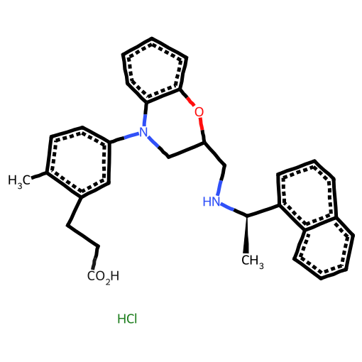 Cc1ccc(N2CC(CN[C@H](C)c3cccc4ccccc34)Oc3ccccc32)cc1CCC(=O)O.Cl